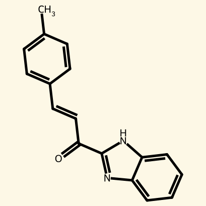 Cc1ccc(C=CC(=O)c2nc3ccccc3[nH]2)cc1